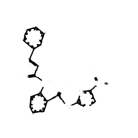 O=C(/C=C/c1ccccc1)Oc1ccccc1C(=O)Nc1nc([SH](=O)=O)cs1